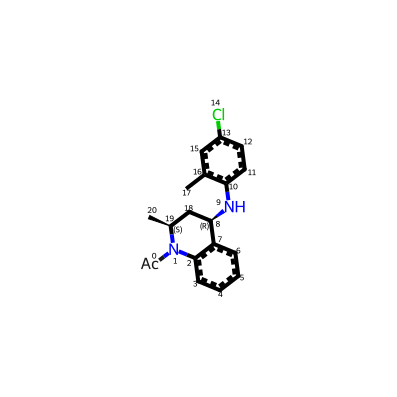 CC(=O)N1c2ccccc2[C@H](Nc2ccc(Cl)cc2C)C[C@@H]1C